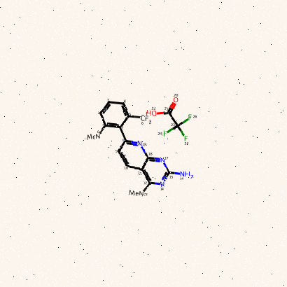 CNc1cccc(C(F)(F)F)c1-c1ccc2c(NC)nc(N)nc2n1.O=C(O)C(F)(F)F